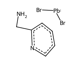 NCc1ccccn1.[Br][Pb][Br]